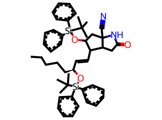 CCCCC[C@@H](C=CC1C(O[Si](c2ccccc2)(c2ccccc2)C(C)(C)C)CC2(C#N)NC(=O)CC12)O[Si](c1ccccc1)(c1ccccc1)C(C)(C)C